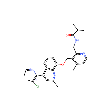 C/C=N\C(=C(/C)Cl)c1cc(C)nc2c(OCc3c(C)ccnc3CNC(=O)C(C)C)cccc12